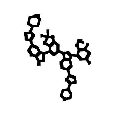 COc1c(F)cc(F)cc1-c1cn(-c2cc3c(c(-c4c[nH]c5ncc(-c6cnn(C7CCNCC7)c6)cc45)c2)OC(F)(F)O3)c2ncc(-c3csc(N4CCOCC4)n3)cc12